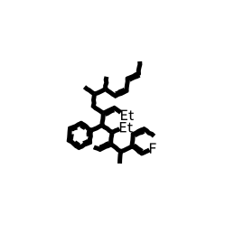 C/C=C\C(=C/F)C(C)/C(=C/C)C(CC)C(/C(=C\CC)CC(C)C(C)/C=C\C=C\C)c1ccccc1